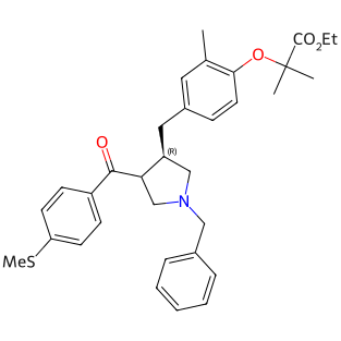 CCOC(=O)C(C)(C)Oc1ccc(C[C@H]2CN(Cc3ccccc3)CC2C(=O)c2ccc(SC)cc2)cc1C